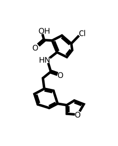 O=C(Cc1cccc(-c2ccoc2)c1)Nc1ccc(Cl)cc1C(=O)O